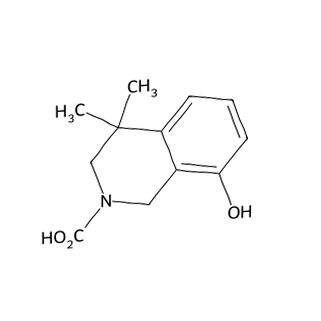 CC1(C)CN(C(=O)O)Cc2c(O)cccc21